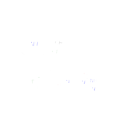 CCc1cc(C2=CC=CC=CN2)c2ccc3c(c2c1Cl)CCC1=C3CC(CC(F)(F)F)CC1CC(=O)N1CCC(n2c(=O)[nH]c3ncccc32)CC1